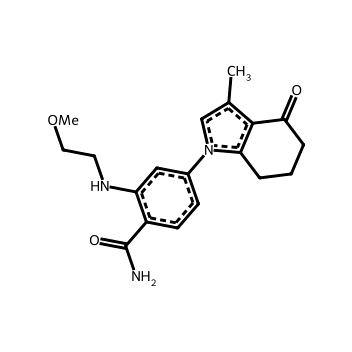 COCCNc1cc(-n2cc(C)c3c2CCCC3=O)ccc1C(N)=O